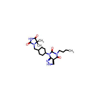 CCCCn1c(=O)c2c[nH]nc2n(C2CCC(CN3C(=O)NC(=O)C3(C)C)CC2)c1=O